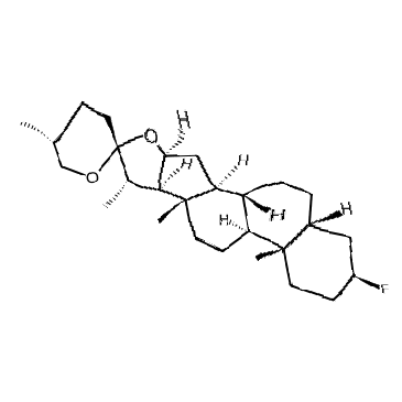 C[C@@H]1CC[C@@]2(OC1)O[C@H]1C[C@H]3[C@@H]4CC[C@@H]5C[C@@H](F)CC[C@]5(C)[C@H]4CC[C@]3(C)[C@H]1[C@@H]2C